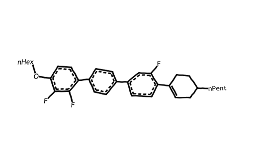 CCCCCCOc1ccc(-c2ccc(-c3ccc(C4=CCC(CCCCC)CC4)c(F)c3)cc2)c(F)c1F